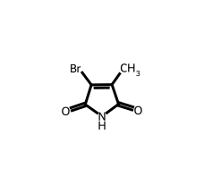 CC1=C(Br)C(=O)NC1=O